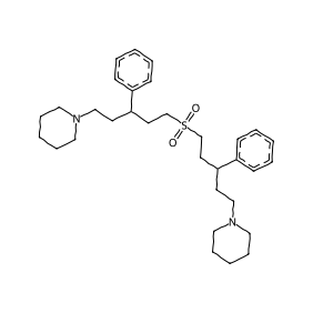 O=S(=O)(CCC(CCN1CCCCC1)c1ccccc1)CCC(CCN1CCCCC1)c1ccccc1